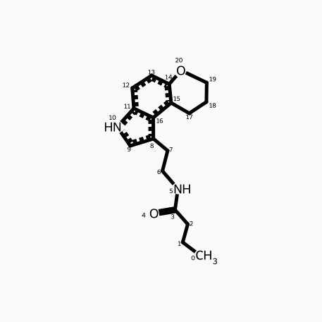 CCCC(=O)NCCc1c[nH]c2ccc3c(c12)CCCO3